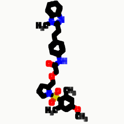 COc1cc(C)c(S(=O)(=O)N2CCCC2COCC(=O)Nc2ccc(CCc3nc4ccccc4n3C)cc2)c(C)c1